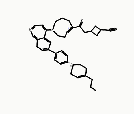 CCCC1=CC[C@H](c2ccc(C3=CCC4=CN=CC=C(N5CC/C=C(\C(=O)CC6CC(C#N)C6)CCC5)C4=C3)cc2)CC1